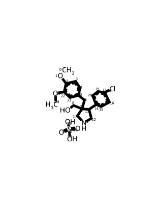 COc1ccc(CC2(CO)CNCC2c2ccc(Cl)cc2)cc1OC.O=S(=O)(O)O